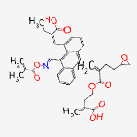 C=C(C)C(=O)ON=Cc1c2ccccc2cc2cccc(C=C(CC)C(=O)O)c12.C=C(CCOC(=O)C(=C)CCC1CO1)C(=O)O